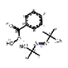 CC(C)(C#N)/N=N/C(C)(C)C#N.O=C(OO)c1ccccc1